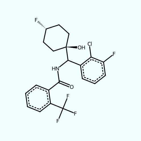 O=C(NC(c1cccc(F)c1Cl)[C@]1(O)CC[C@H](F)CC1)c1ccccc1C(F)(F)F